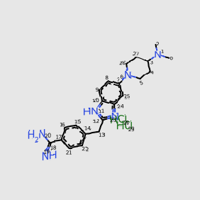 CN(C)C1CCN(c2ccc3[nH]c(Cc4ccc(C(=N)N)cc4)nc3c2)CC1.Cl.Cl